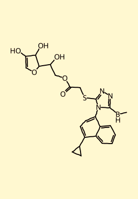 CBc1nnc(SCC(=O)OCC(O)C2OC=C(O)C2O)n1-c1ccc(C2CC2)c2ccccc12